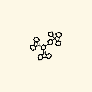 c1ccc(C2(c3ccc(-c4cc(-n5c6ccccc6c6ccccc65)cc(-n5c6ccccc6c6ccccc65)c4)cc3)c3ccccc3-c3ccccc32)cc1